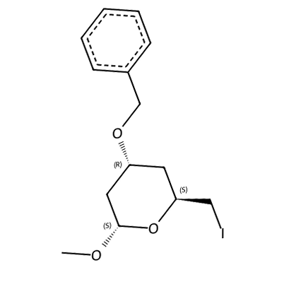 CO[C@@H]1C[C@H](OCc2ccccc2)C[C@@H](CI)O1